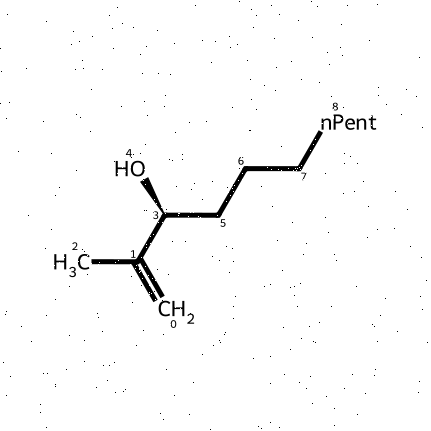 C=C(C)[C@@H](O)CCCCCCCC